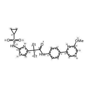 CCC(CC)(C(=O)Nc1ccc(-c2cncc(OC)n2)cc1)c1csc(NS(=O)(=O)C2CC2)n1